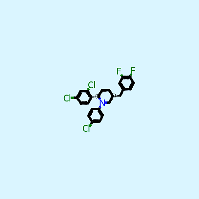 Fc1ccc(C[C@@H]2CC[C@@H](c3ccc(Cl)cc3Cl)N(c3ccc(Cl)cc3)C2)cc1F